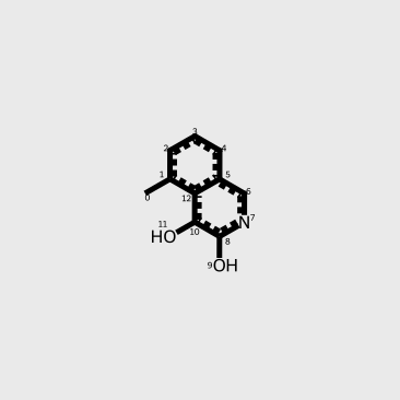 Cc1cccc2cnc(O)c(O)c12